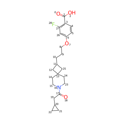 O=C(O)c1ccc(OCCCC2CC3(CCN(C(=O)CC4CC4)CC3)C2)cc1F